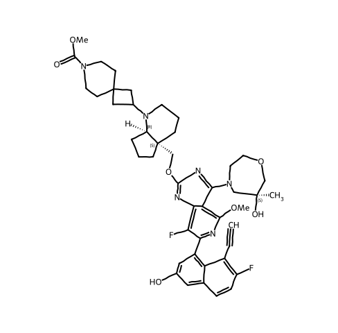 C#Cc1c(F)ccc2cc(O)cc(-c3nc(OC)c4c(N5CCOC[C@@](C)(O)C5)nc(OC[C@]56CCC[C@H]5N(C5CC7(CCN(C(=O)OC)CC7)C5)CCC6)nc4c3F)c12